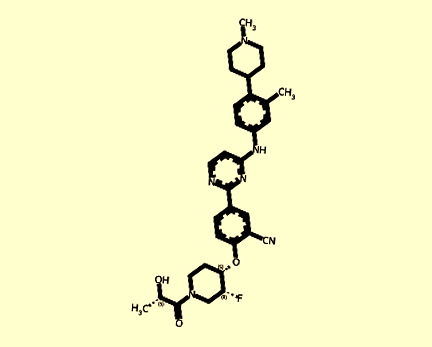 Cc1cc(Nc2ccnc(-c3ccc(O[C@H]4CCN(C(=O)[C@H](C)O)C[C@H]4F)c(C#N)c3)n2)ccc1C1CCN(C)CC1